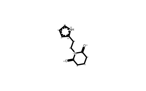 O=C1CCCC(=O)N1CCc1ccc[nH]1